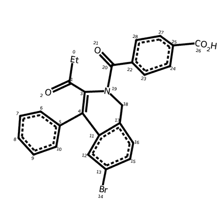 CCC(=O)C1=C(c2ccccc2)c2cc(Br)ccc2CN1C(=O)c1ccc(C(=O)O)cc1